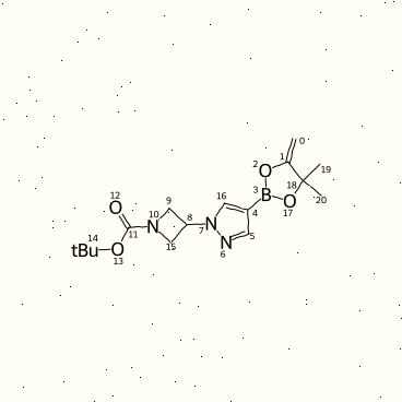 C=C1OB(c2cnn(C3CN(C(=O)OC(C)(C)C)C3)c2)OC1(C)C